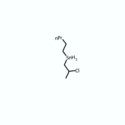 CCCC[CH2][SnH2][CH2]C(C)Cl